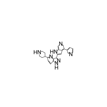 c1cncc(-c2cncc3[nH]c(-c4n[nH]c5ccc(C6CCNCC6)nc45)cc23)c1